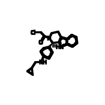 O=C(CCl)N1CCc2c([nH]c3ccccc23)[C@@H]1c1ccc(NCC2CC2)cc1